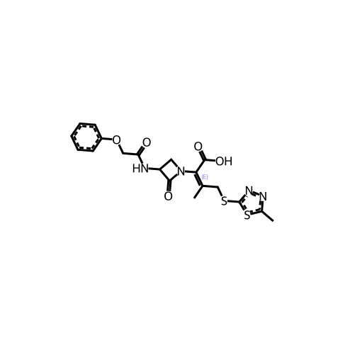 C/C(CSc1nnc(C)s1)=C(/C(=O)O)N1CC(NC(=O)COc2ccccc2)C1=O